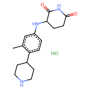 Cc1cc(NC2CCC(=O)NC2=O)ccc1C1CCNCC1.Cl